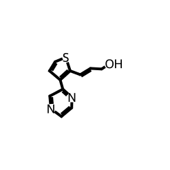 OCC=Cc1sccc1-c1cnccn1